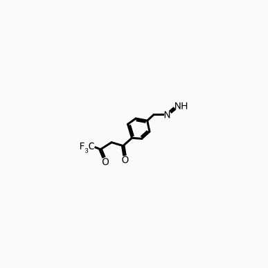 N=NCc1ccc(C(=O)CC(=O)C(F)(F)F)cc1